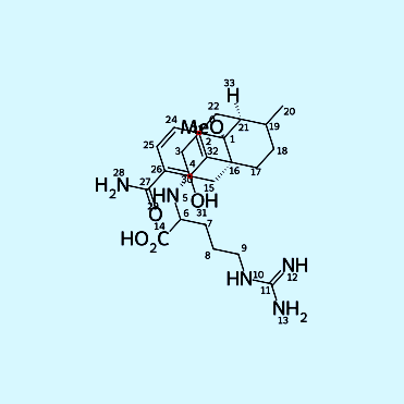 CO[C@@]12CC[C@@H](NC(CCCNC(=N)N)C(=O)O)C[C@@]13CCC(C)[C@@H]2Cc1ccc(C(N)=O)c(O)c13